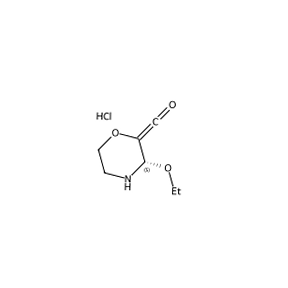 CCO[C@@H]1NCCOC1=C=O.Cl